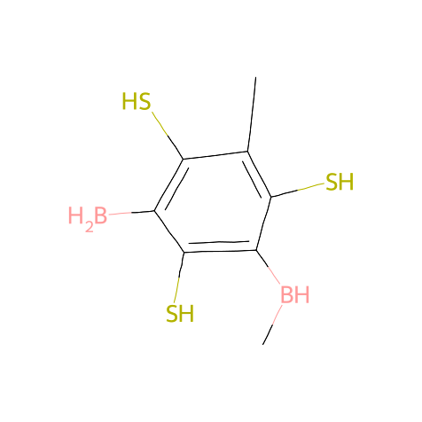 Bc1c(S)c(C)c(S)c(BC)c1S